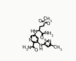 Cc1cc(Nc2cc(NC(CCS(C)(=O)=O)C(N)=O)cnc2C(N)=O)sn1